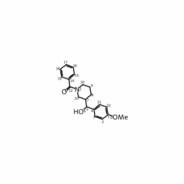 COc1ccc(C(O)C2CCCN(C(=O)c3ccccc3)C2)cc1